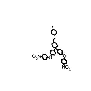 C[C@H]1CC[C@H](CCC2CCC(c3ccc(Oc4ccc([N+](=O)[O-])cc4)cc3)(c3ccc(Oc4ccc([N+](=O)[O-])cc4)cc3)CC2)CC1